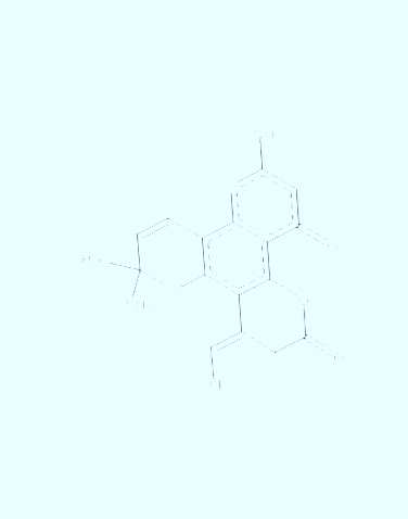 Cc1cc(=O)c2c3c(c4c(c2o1)C=CC(C)(C)O4)C(=CCl)[CH]C(=O)O3